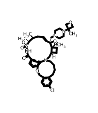 CO[C@]1(CN2CCN(C3(C)COC3)CC2)/C=C/C[C@H](C)[C@@H](C)S(=O)(=O)NC(=O)c2ccc3c(c2)N(CCCCc2cc(Cl)ccc2CO3)C[C@@H]2CC[C@H]21